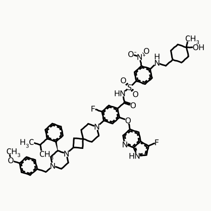 COc1ccc(CN2CCN(C3CC4(CCN(c5cc(Oc6cnc7[nH]cc(F)c7c6)c(C(=O)NS(=O)(=O)c6ccc(NCC7CCC(C)(O)CC7)c([N+](=O)[O-])c6)cc5F)CC4)C3)[C@H](c3ccccc3C(C)C)C2)cc1